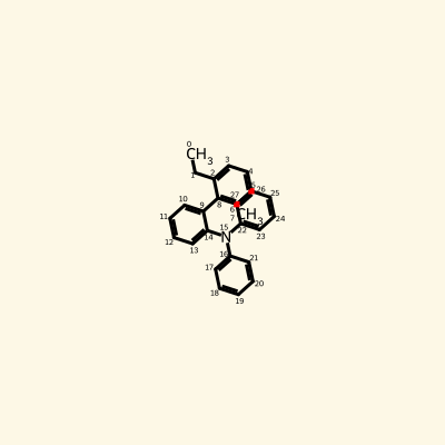 CCc1cccc(C)c1-c1ccccc1N(c1ccccc1)c1ccccc1